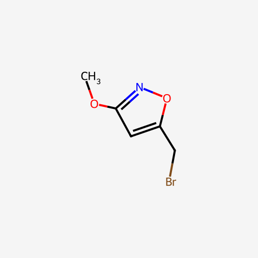 COc1cc(CBr)on1